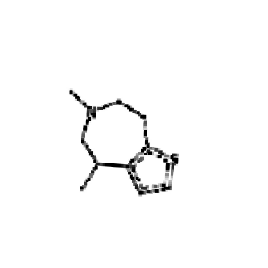 CC1CN(C)CCc2sccc21